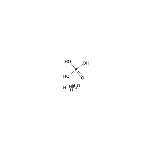 O.O=P(O)(O)O.[H+].[NaH]